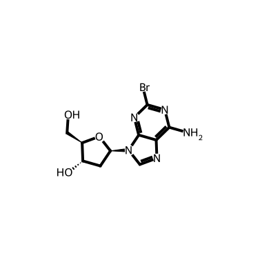 Nc1nc(Br)nc2c1ncn2[C@H]1C[C@H](O)[C@@H](CO)O1